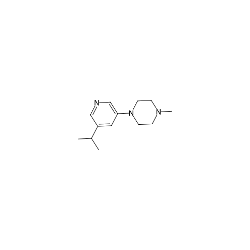 CC(C)c1cncc(N2CCN(C)CC2)c1